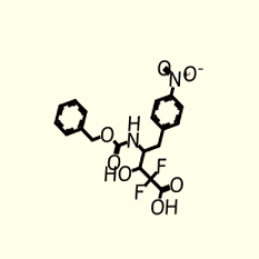 O=C(NC(Cc1ccc([N+](=O)[O-])cc1)C(O)C(F)(F)C(=O)O)OCc1ccccc1